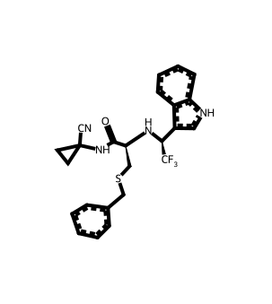 N#CC1(NC(=O)[C@H](CSCc2ccccc2)N[C@@H](c2c[nH]c3ccccc23)C(F)(F)F)CC1